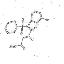 COC(=O)/C=C(\C)c1cc2c(Br)cccc2n1S(=O)(=O)c1ccccc1